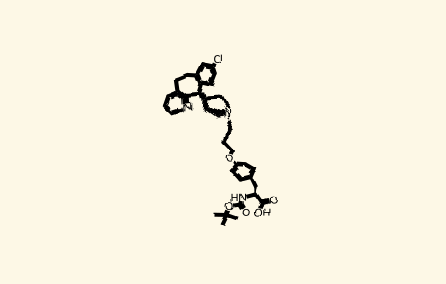 CC(C)(C)OC(=O)N[C@@H](Cc1ccc(OCCCN2CCC(=C3c4ccc(Cl)cc4CCc4cccnc43)CC2)cc1)C(=O)O